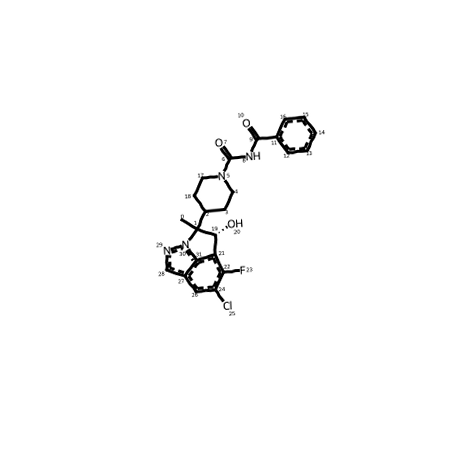 CC1(C2CCN(C(=O)NC(=O)c3ccccc3)CC2)[C@H](O)c2c(F)c(Cl)cc3cnn1c23